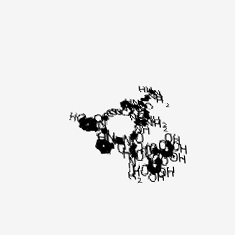 N=C(N)NCCC[C@H](NC(=O)[C@@H]1CCCN1C(=O)[C@@H]1CSSCCC(=O)N[C@@H](Cc2ccc(O)cc2)C(=O)N[C@@H](Cc2ccccc2)C(=O)N[C@@H](CCC(N)=O)C(=O)N[C@@H](CC(N)=O)C(=O)N1)C(=O)NCC(N)=O.OC[C@H]1O[C@@H](O[C@H]2[C@H](O)[C@@H](O)[C@H](O)O[C@@H]2CO)[C@H](O)[C@@H](O)[C@H]1O